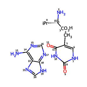 CC(C)[C@H](N)C(=O)O.Cc1c[nH]c(=O)[nH]c1=O.Nc1ncnc2[nH]cnc12